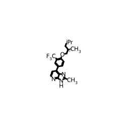 Cc1nc2c(-c3ccc(OC[C@H](C)CC(C)C)c(C(F)(F)F)c3)ccnc2[nH]1